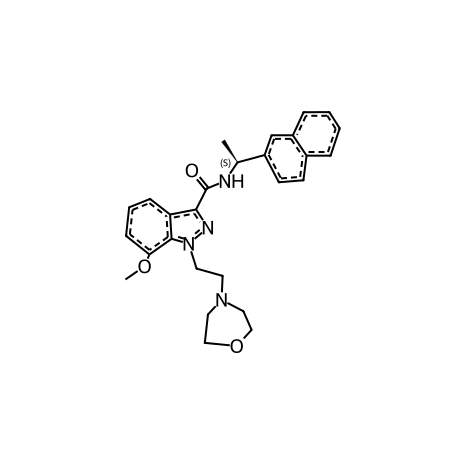 COc1cccc2c(C(=O)N[C@@H](C)c3ccc4ccccc4c3)nn(CCN3CCOCC3)c12